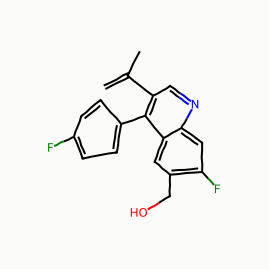 C=C(C)c1cnc2cc(F)c(CO)cc2c1-c1ccc(F)cc1